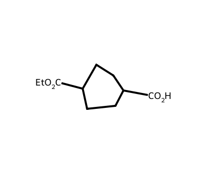 CCOC(=O)C1CCC(C(=O)O)CC1